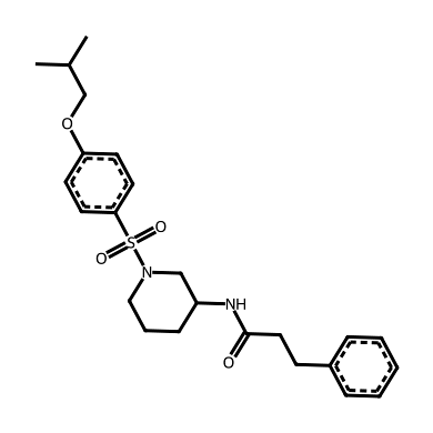 CC(C)COc1ccc(S(=O)(=O)N2CCCC(NC(=O)CCc3ccccc3)C2)cc1